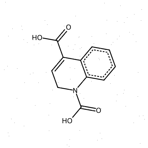 O=C(O)C1=CCN(C(=O)O)c2ccccc21